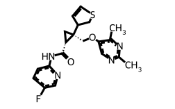 Cc1ncc(OC[C@@]2(C3C=CSC3)C[C@H]2C(=O)Nc2ccc(F)cn2)c(C)n1